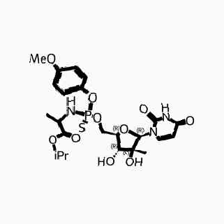 COc1ccc(OP(=S)(NC(C)C(=O)OC(C)C)OC[C@H]2O[C@@H](n3ccc(=O)[nH]c3=O)[C@](C)(O)[C@@H]2O)cc1